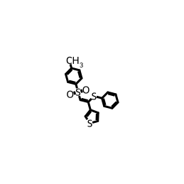 Cc1ccc(S(=O)(=O)/C=C(\Sc2ccccc2)c2ccsc2)cc1